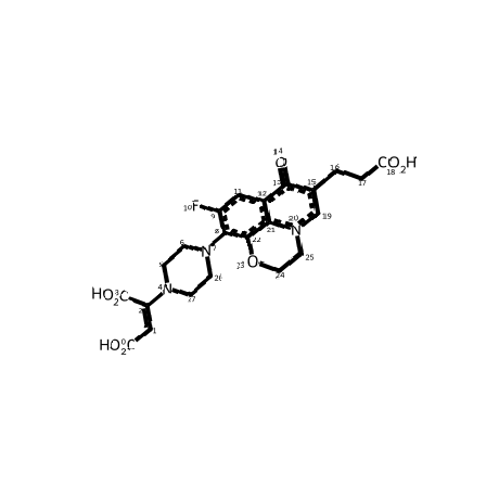 O=C(O)C=C(C(=O)O)N1CCN(c2c(F)cc3c(=O)c(CCC(=O)O)cn4c3c2OCC4)CC1